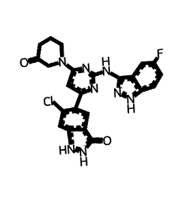 O=C1CCCN(c2cc(-c3cc4c(=O)[nH][nH]c4cc3Cl)nc(Nc3n[nH]c4ccc(F)cc34)n2)C1